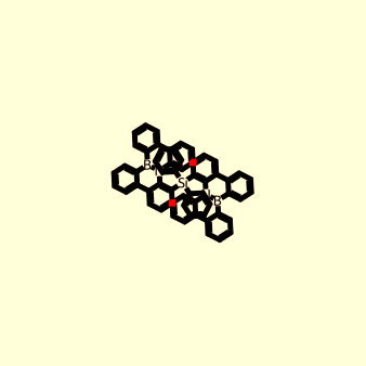 c1ccc([Si](c2ccccc2)(c2cccc3c2N2B(c4ccccc4-c4ccccc42)c2ccccc2-3)c2cccc3c2N2B(c4ccccc4-c4ccccc42)c2ccccc2-3)cc1